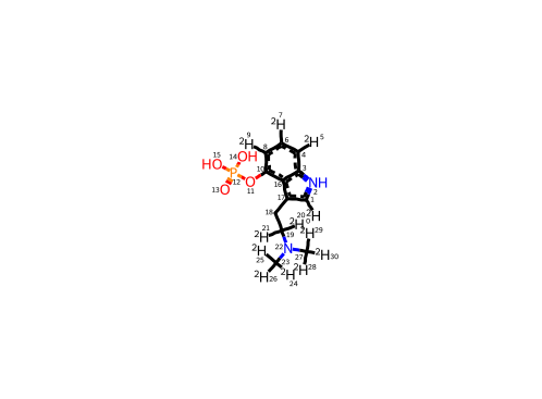 [2H]c1[nH]c2c([2H])c([2H])c([2H])c(OP(=O)(O)O)c2c1CC([2H])([2H])N(C([2H])([2H])[2H])C([2H])([2H])[2H]